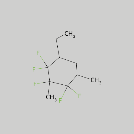 CCC1CC(C)C(F)(F)C(C)(F)C1(F)F